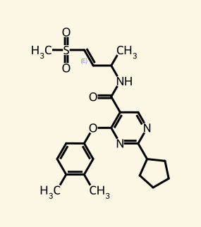 Cc1ccc(Oc2nc(C3CCCC3)ncc2C(=O)NC(C)/C=C/S(C)(=O)=O)cc1C